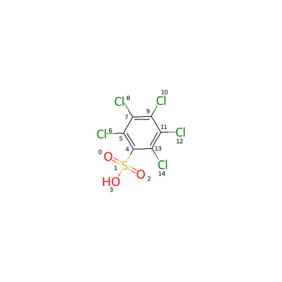 O=S(=O)(O)c1c(Cl)c(Cl)c(Cl)c(Cl)c1Cl